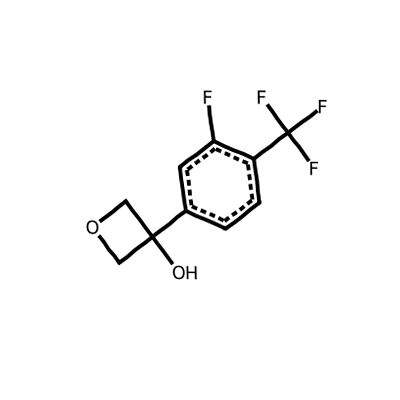 OC1(c2ccc(C(F)(F)F)c(F)c2)COC1